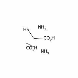 CC(=O)O.N.N.O=C(O)CS